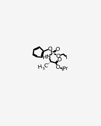 CC(C)OC(=O)[C@H](C)NP(=O)(OCI)Oc1ccccc1